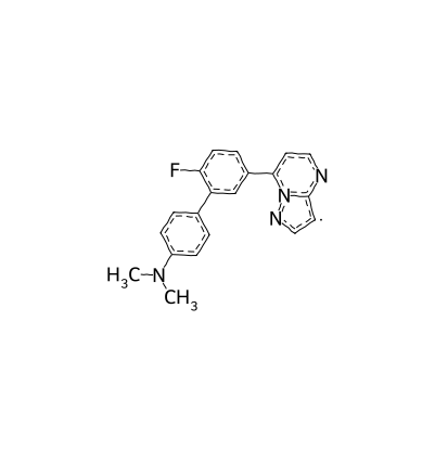 CN(C)c1ccc(-c2cc(-c3ccnc4[c]cnn34)ccc2F)cc1